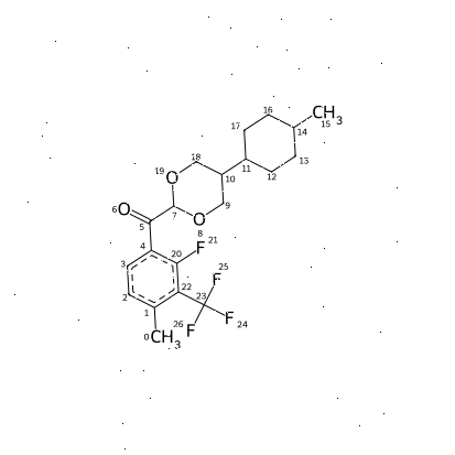 Cc1ccc(C(=O)C2OCC(C3CCC(C)CC3)CO2)c(F)c1C(F)(F)F